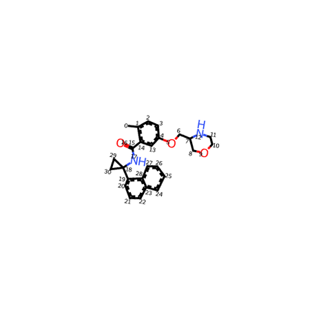 Cc1ccc(OCC2COCCN2)cc1C(=O)NC1(c2cccc3ccccc23)CC1